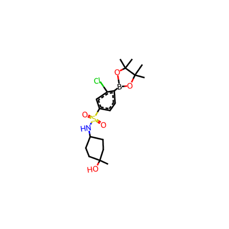 CC1(O)CCC(NS(=O)(=O)c2ccc(B3OC(C)(C)C(C)(C)O3)c(Cl)c2)CC1